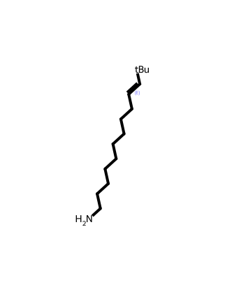 CC(C)(C)/C=C/CCCCCCCCCN